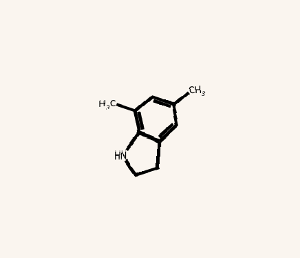 Cc1cc(C)c2c(c1)CCN2